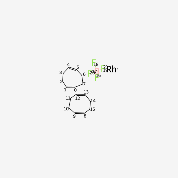 C1=CCCC=CCC1.C1=CCCC=CCC1.F[B-](F)(F)F.[Rh]